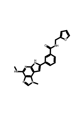 CNc1nc2[nH]c(-c3cccc(C(=O)NCc4ccco4)c3)cc2c2c1ncn2C